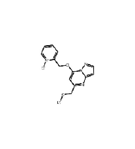 CCOCc1cc(OCc2cccc[n+]2[O-])n2nccc2n1